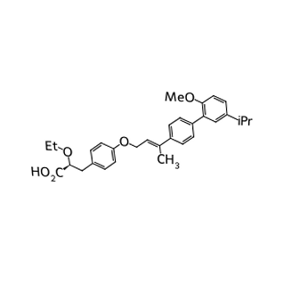 CCO[C@@H](Cc1ccc(OC/C=C(\C)c2ccc(-c3cc(C(C)C)ccc3OC)cc2)cc1)C(=O)O